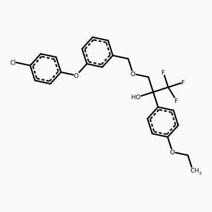 CCOc1ccc(C(O)(COCc2cccc(Oc3ccc(Cl)cc3)c2)C(F)(F)F)cc1